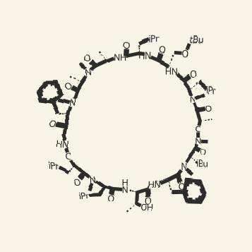 CCC(C)[C@H]1C(=O)N(C)C[C@@H](C)C(=O)N(C)[C@@H](CC(C)C)C(=O)N[C@@H](COC(C)(C)C)C(=O)N[C@@H](CC(C)C)C(=O)N[C@@H](C)C(=O)N(C)[C@@H](C)C(=O)N(C)[C@@H](Cc2ccccc2)C(=O)CNC[C@@H](CC(C)C)C(=O)N(C)C(CC(C)C)C(=O)N[C@@H]([C@@H](C)O)C(=O)N[C@@H](Cc2ccccc2)C(=O)N1C